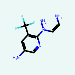 N/C=C\N(N)c1ncc(N)cc1C(F)(F)F